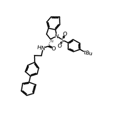 CC(C)(C)c1ccc(S(=O)(=O)N2c3ccccc3C[C@H]2C(=O)NCCc2ccc(-c3ccccc3)cc2)cc1